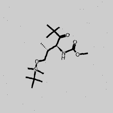 COC(=O)N[C@H](C(=O)C(C)(C)C)[C@@H](C)CO[Si](C)(C)C(C)(C)C